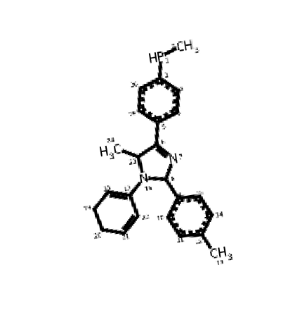 CPc1ccc(C2=NC(c3ccc(C)cc3)N(C3=CCCC=C3)C2C)cc1